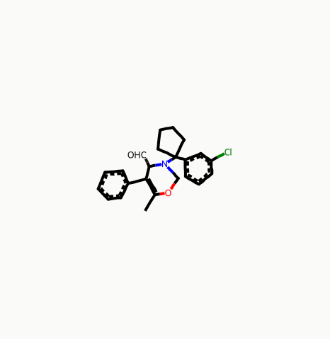 CC1=C(c2ccccc2)C(C=O)N(C2(c3cccc(Cl)c3)CCCC2)CO1